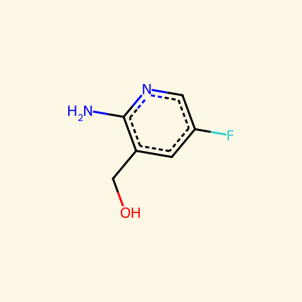 Nc1ncc(F)cc1CO